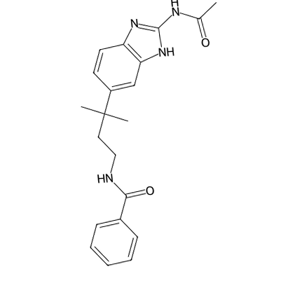 CC(=O)Nc1nc2ccc(C(C)(C)CCNC(=O)c3ccccc3)cc2[nH]1